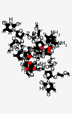 CC[C@H]1O[C@@H](n2cc(C)c(=O)[nH]c2=O)CC1OP(=O)(S)OC[C@H]1O[C@@H](n2cc(C)c(=O)[nH]c2=O)[C@@H](OCCOC)C1OP(=O)(O)OC[C@H]1O[C@@H](n2cc(C)c(N)nc2=O)[C@@H](OCCOC)C1OP(=O)(O)OC[C@H]1O[C@@H](n2cc(C)c(N)nc2=O)[C@@H](OCCOC)C1OP(=O)(S)OC[C@H]1O[C@@H](n2cc(C)c(=O)[nH]c2=O)[C@@H](OCCOC)C1OP(=O)(S)OC[C@H]1O[C@@H](n2cc(C)c(=O)[nH]c2=O)[C@@H](OCCOC)C1O